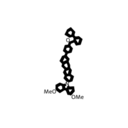 COc1ccc2c(c1)c1cc(OC)ccc1n2-c1ccc2cc3c(cc2c1)Cc1ccc(-c2ccc(C(=O)c4ccccc4-c4ccccc4)cc2)cc1C3